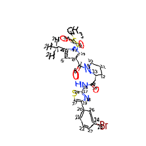 [2H]C([2H])([2H])c1cc(C(=O)N2CCC[C@H]2C(=O)Nc2nc(-c3cccc(Br)c3)cs2)cn1S(C)(=O)=O